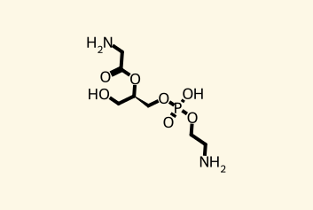 NCCOP(=O)(O)OC[C@@H](CO)OC(=O)CN